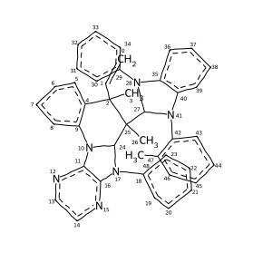 C=CC1(C)c2ccccc2N2c3nccnc3N(c3ccccc3)C2C1(C)C1N(c2ccccc2)c2ccccc2N1c1ccccc1C